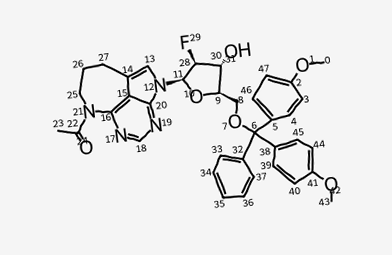 COc1ccc(C(OC[C@H]2O[C@@H](n3cc4c5c(ncnc53)N(C(C)=O)CCC4)[C@@H](F)[C@@H]2O)(c2ccccc2)c2ccc(OC)cc2)cc1